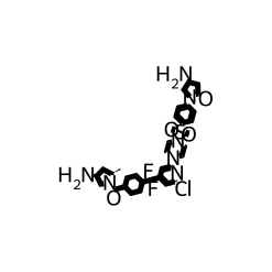 C[C@H]1C[C@H](N)CN1C(=O)C1CCC(C(F)(F)c2cc(Cl)nc(N3CCN(S(=O)(=O)c4ccc(N5C[C@H](N)CC5=O)cc4)CC3)c2)CC1